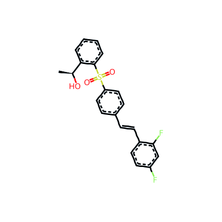 C[C@H](O)c1ccccc1S(=O)(=O)c1ccc(/C=C/c2ccc(F)cc2F)cc1